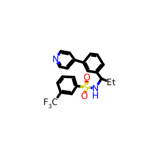 CCC(NS(=O)(=O)c1cccc(C(F)(F)F)c1)c1cccc(-c2ccncc2)c1